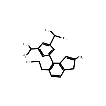 CCCc1ccc2c(c1-c1cc(C(C)C)cc(C(C)C)c1)C=C(C)[CH]2